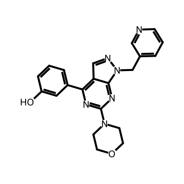 Oc1cccc(-c2nc(N3CCOCC3)nc3c2cnn3Cc2cccnc2)c1